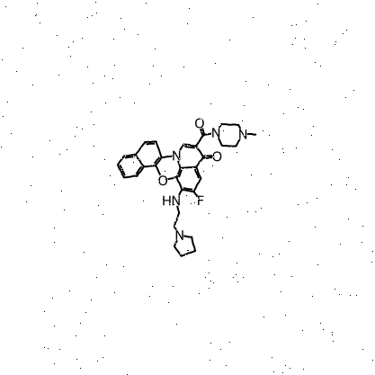 CN1CCN(C(=O)c2cn3c4c(c(NCCN5CCCC5)c(F)cc4c2=O)Oc2c-3ccc3ccccc23)CC1